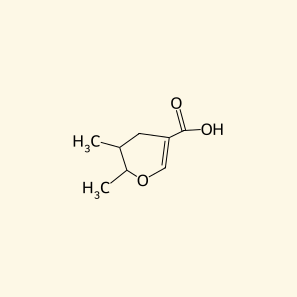 CC1CC(C(=O)O)=COC1C